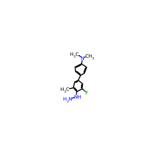 Cc1cc(-c2ccc(N(C)C)cc2)cc(F)c1NN